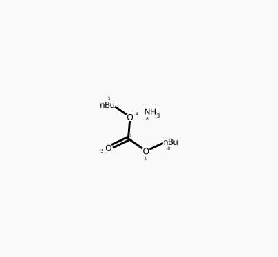 CCCCOC(=O)OCCCC.N